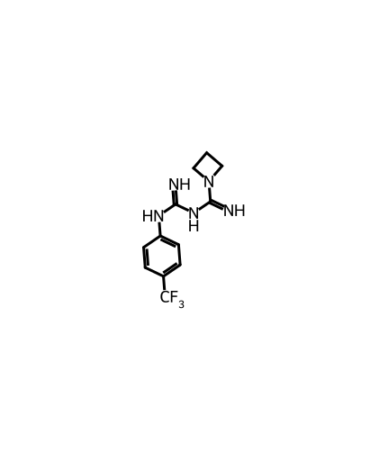 N=C(NC(=N)N1CCC1)Nc1ccc(C(F)(F)F)cc1